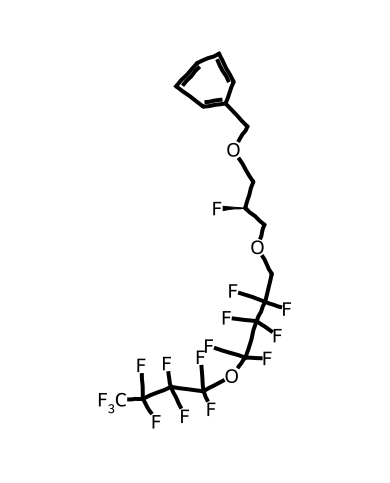 F[C@@H](COCc1ccccc1)COCC(F)(F)C(F)(F)C(F)(F)OC(F)(F)C(F)(F)C(F)(F)C(F)(F)F